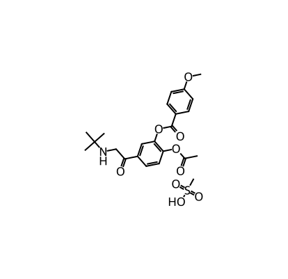 COc1ccc(C(=O)Oc2cc(C(=O)CNC(C)(C)C)ccc2OC(C)=O)cc1.CS(=O)(=O)O